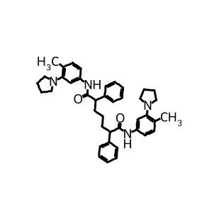 Cc1ccc(NC(=O)C(CCCC(C(=O)Nc2ccc(C)c(N3CCCC3)c2)c2ccccc2)c2ccccc2)cc1N1CCCC1